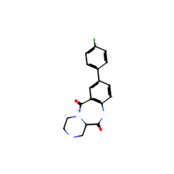 O=C1Nc2ccc(-c3ccc(Cl)cc3)cc2C(=O)N2CCNCC12